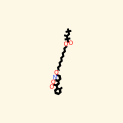 Cc1ccccc1-c1cc2ccc(OCCCCCCCCCCCOC(=O)C(C)(C)C(C)CC(C)(C)C)nc2oc1=O